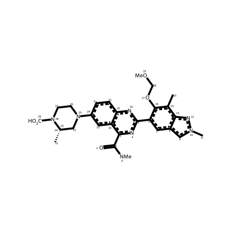 CNC(=O)c1nc(-c2cc3cn(C)nc3c(C)c2OCOC)nc2ccc(N3CCN(C(=O)O)[C@@H](C)C3)cc12